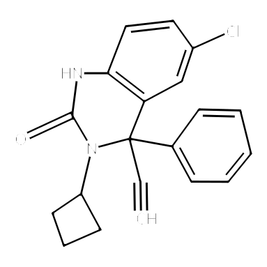 C#CC1(c2ccccc2)c2cc(Cl)ccc2NC(=O)N1C1CCC1